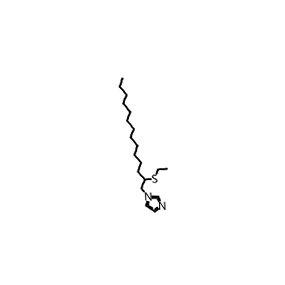 CCCCCCCCCCCCC(Cn1ccnc1)SCC